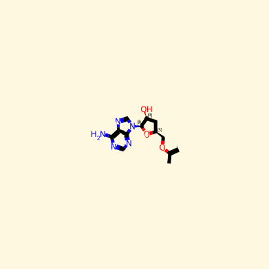 C=C(C)OC[C@@H]1C[C@@H](O)[C@H](n2cnc3c(N)ncnc32)O1